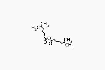 CC(C)CCCCC(=O)OC(=O)CCCCC(C)C